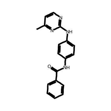 Cc1ccnc(Nc2ccc(NC(=O)c3ccccc3)cc2)n1